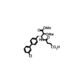 COC(=O)C(OC)[C@@H](Cc1ccc(-c2cccc(Cl)c2)cc1)NC(=O)CCC(=O)O